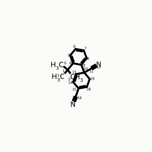 CC(C)(C)c1ccccc1C1(C#N)C=CC(C#N)=CC1